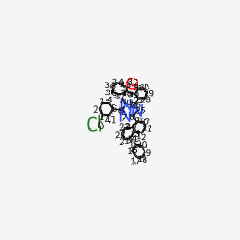 Clc1cccc(-c2nc(-c3cccc4c(-c5ccccc5)cccc34)nc(-c3cccc4oc5ccccc5c34)n2)c1